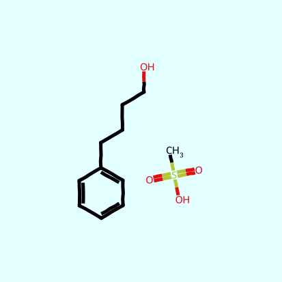 CS(=O)(=O)O.OCCCCc1ccccc1